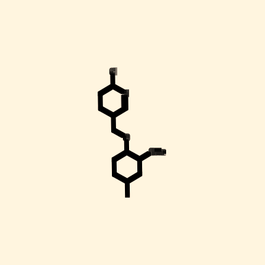 COC1CC(C)CCC1OCC1C=NC(Cl)CC1